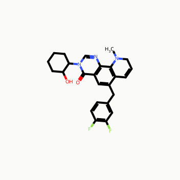 CN1CC=Cc2c(Cc3ccc(F)c(F)c3)cc3c(=O)n(C4CCCCC4O)cnc3c21